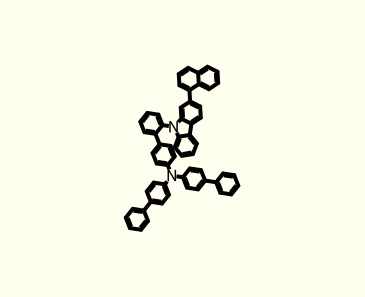 c1ccc(-c2ccc(N(c3ccc(-c4ccccc4)cc3)c3ccc(-c4ccccc4-n4c5ccccc5c5ccc(-c6cccc7ccccc67)cc54)cc3)cc2)cc1